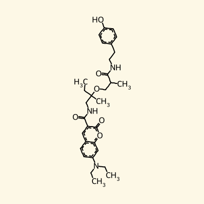 CCN(CC)c1ccc2cc(C(=O)NCC(C)(CC)OCC(C)C(=O)NCCc3ccc(O)cc3)c(=O)oc2c1